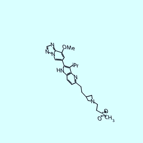 COc1cc(-c2[nH]c3ccc(CCC4CN(CCS(C)(=O)=O)C4)nc3c2C(C)C)cn2ncnc12